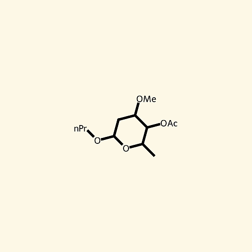 CCCOC1CC(OC)C(OC(C)=O)C(C)O1